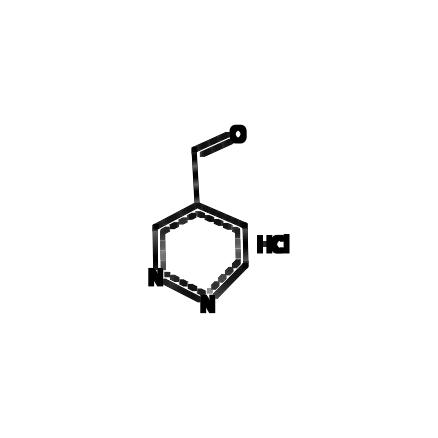 Cl.O=Cc1ccnnc1